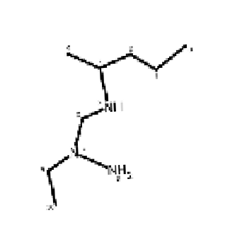 CCCC(C)NCN(N)CC